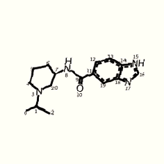 CC(C)N1CCC[C@@H](NC(=O)c2ccc3[nH]cnc3c2)C1